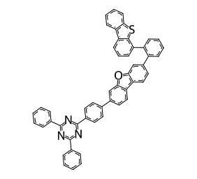 c1ccc(-c2nc(-c3ccccc3)nc(-c3ccc(-c4ccc5c(c4)oc4cc(-c6ccccc6-c6cccc7c6sc6ccccc67)ccc45)cc3)n2)cc1